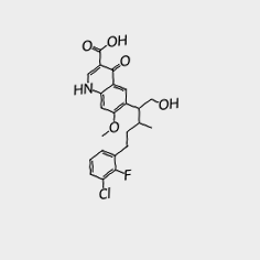 COc1cc2[nH]cc(C(=O)O)c(=O)c2cc1C(CO)C(C)CCc1cccc(Cl)c1F